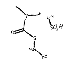 CCNSC(=O)N(C)C.O=S(=O)(O)O